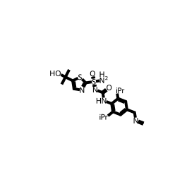 C=NCc1cc(C(C)C)c(NC(=O)N=S(N)(=O)c2ncc(C(C)(C)O)s2)c(C(C)C)c1